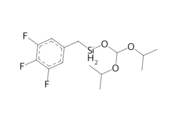 CC(C)OC(O[SiH2]Cc1cc(F)c(F)c(F)c1)OC(C)C